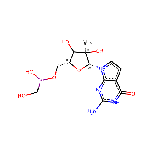 C[C@@]1(O)C(O)[C@@H](COP(O)CO)O[C@H]1n1ccc2c(=O)[nH]c(N)nc21